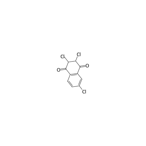 O=C1c2ccc(Cl)cc2C(=O)C(Cl)C1Cl